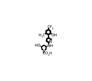 Cc1cc(C(F)(F)F)cc(O)c1-c1ccc(N[C@@H]2C[C@H](O)CN(C(=O)O)C2)nn1